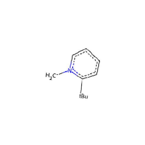 [CH2-][n+]1ccccc1C(C)(C)C